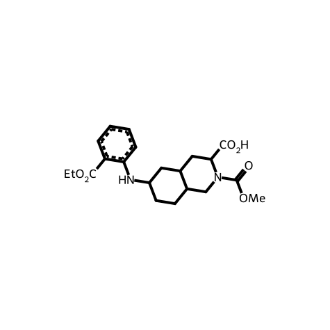 CCOC(=O)c1ccccc1NC1CCC2CN(C(=O)OC)C(C(=O)O)CC2C1